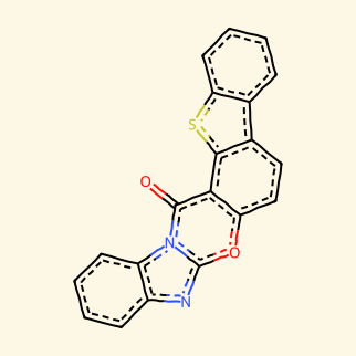 O=c1c2c(ccc3c4ccccc4sc32)oc2nc3ccccc3n12